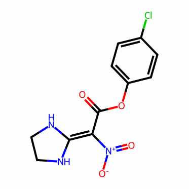 O=C(Oc1ccc(Cl)cc1)C(=C1NCCN1)[N+](=O)[O-]